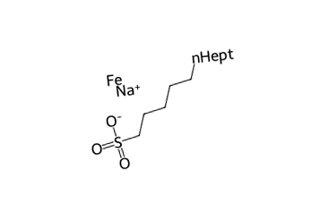 CCCCCCCCCCCCS(=O)(=O)[O-].[Fe].[Na+]